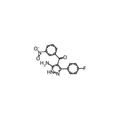 Nc1[nH]nc(-c2ccc(F)cc2)c1C(=O)c1cccc([N+](=O)[O-])c1